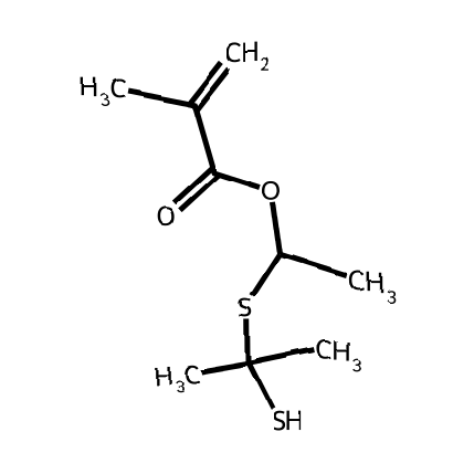 C=C(C)C(=O)OC(C)SC(C)(C)S